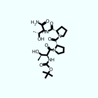 C[C@@H](O)[C@H](NC(=O)[C@@H]1CCCN1C(=O)[C@@H]1CCCN1C(=O)[C@@H](NC(=O)OC(C)(C)C)[C@@H](C)O)C(N)=O